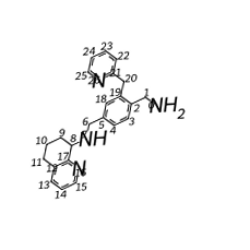 NCc1ccc(CNC2CCCc3cccnc32)cc1Cc1ccccn1